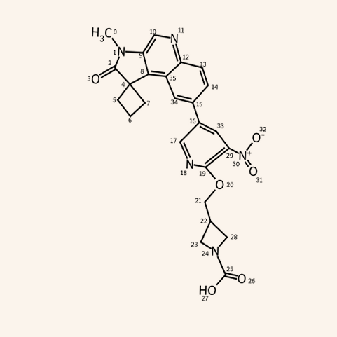 CN1C(=O)C2(CCC2)c2c1cnc1ccc(-c3cnc(OCC4CN(C(=O)O)C4)c([N+](=O)[O-])c3)cc21